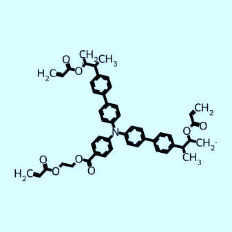 [CH2]C(OC(=O)C=C)C(C)c1ccc(-c2ccc(N(c3ccc(C(=O)OCCOC(=O)C=C)cc3)c3ccc(-c4ccc(C(C)C([CH2])OC(=O)C=C)cc4)cc3)cc2)cc1